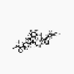 CNC(=O)c1cc2nc(-c3ccccn3)n([C@@H]3CCC[C@H](NC(=O)c4ccc(Br)s4)C3)c2cn1